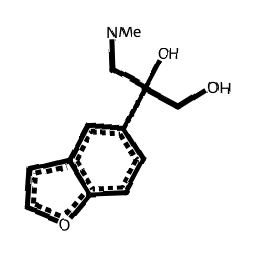 CNCC(O)(CO)c1ccc2occc2c1